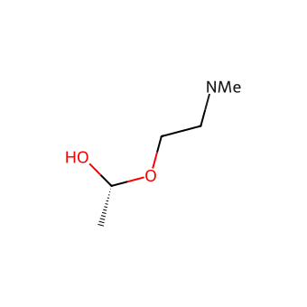 CNCCO[C@H](C)O